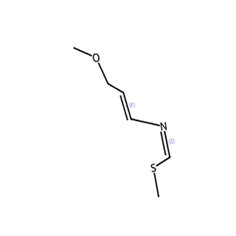 COC/C=C/N=C\SC